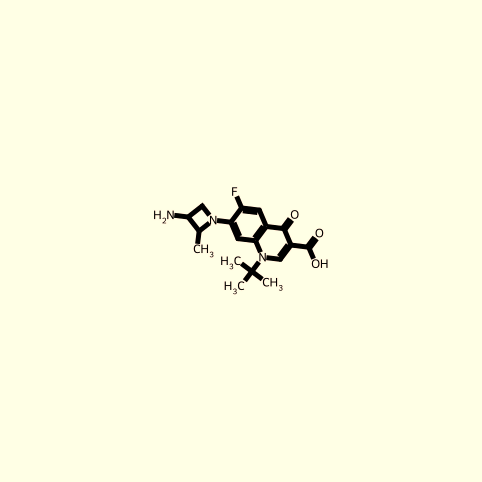 CC1C(N)CN1c1cc2c(cc1F)c(=O)c(C(=O)O)cn2C(C)(C)C